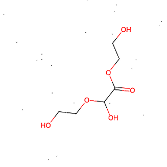 O=C(OCCO)C(O)OCCO